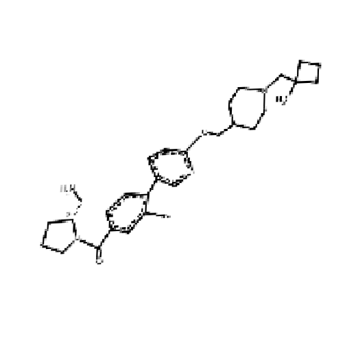 CC1(CN2CCC(COc3ccc(-c4ccc(C(=O)N5CCC[C@@H]5CN)cc4F)cn3)CC2)CCC1